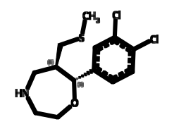 CSC[C@@H]1CNCCO[C@H]1c1ccc(Cl)c(Cl)c1